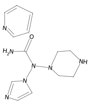 NC(=O)N(N1CCNCC1)n1ccnc1.c1ccncc1